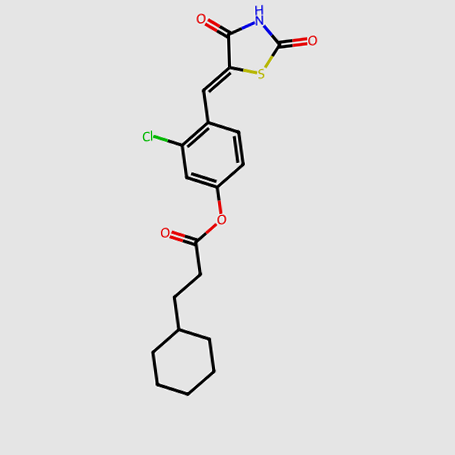 O=C(CCC1CCCCC1)Oc1ccc(/C=C2\SC(=O)NC2=O)c(Cl)c1